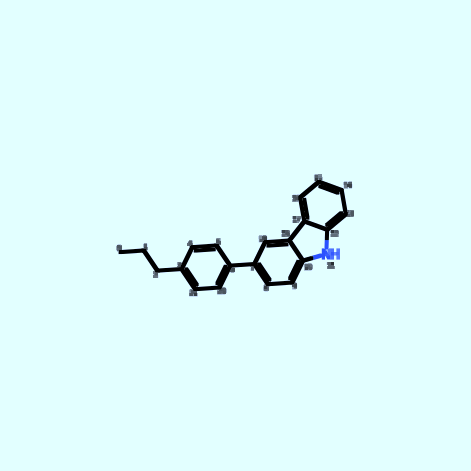 CCCc1ccc(-c2ccc3[nH]c4ccccc4c3c2)cc1